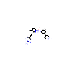 Cc1ccc(C(=O)Nc2cc(C3=CCNCC3)cc(C(F)(F)F)c2)cc1C#Cc1cnc(N)nc1